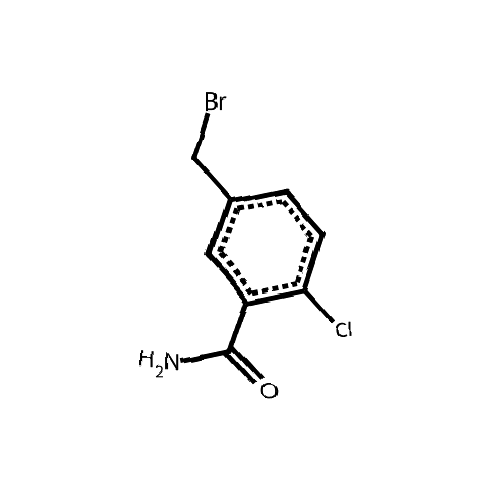 NC(=O)c1cc(CBr)ccc1Cl